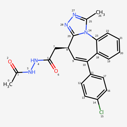 CC(=O)NNC(=O)C[C@@H]1C=C(c2ccc(Cl)cc2)c2ccccc2-n2c(C)nnc21